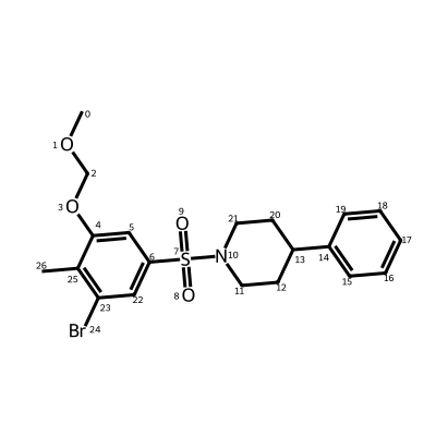 COCOc1cc(S(=O)(=O)N2CCC(c3ccccc3)CC2)cc(Br)c1C